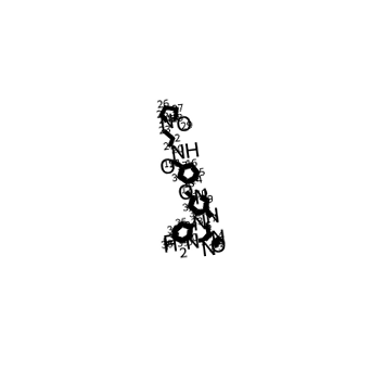 Nc1nonc1-c1nc2cnc(Oc3cccc(C(=O)NCCCN4CCCC4=O)c3)cc2n1-c1ccc(F)cc1